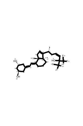 C[C@H](C/C=C\C(O)(C(F)(F)F)C(F)(F)F)C1=CC[C@H]2/C(=C/C=C3C[C@@H](O)C[C@H](O)C3)CCC[C@]12C